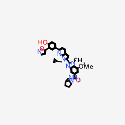 COc1cc(C(=O)N2CC3CCC2C3N)cc2nc(-c3cc4ccc(-c5ccc(O)c(-c6ccno6)c5)nc4n3CC3CC3)n(C)c12